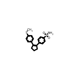 CSc1ccc(C2=C(c3ccc(S(N)(=O)=O)cc3)CCC2)cc1